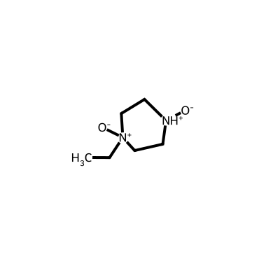 CC[N+]1([O-])CC[NH+]([O-])CC1